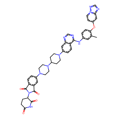 Cc1cc(Nc2ncnc3cc(N4CCC(N5CCN(c6ccc7c(c6)C(=O)N(C6CCC(=O)NC6=O)C7=O)CC5)CC4)ccc23)ccc1Oc1ccn2ncnc2c1